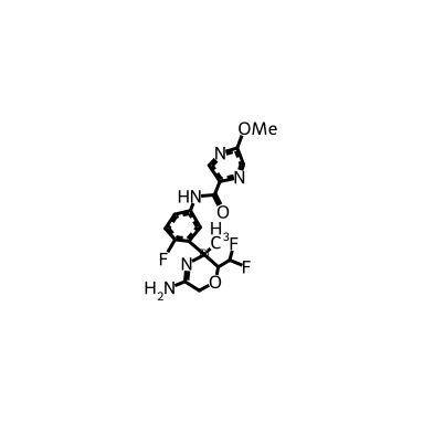 COc1cnc(C(=O)Nc2ccc(F)c([C@@]3(C)N=C(N)COC3C(F)F)c2)cn1